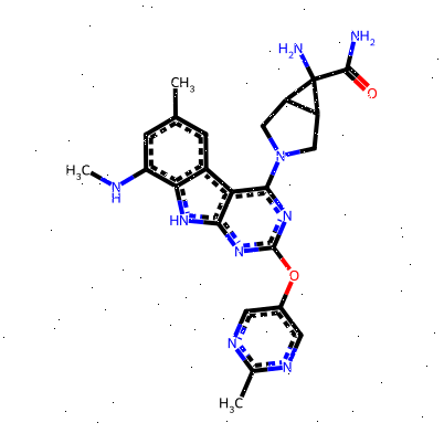 CNc1cc(C)cc2c1[nH]c1nc(Oc3cnc(C)nc3)nc(N3CC4C(C3)C4(N)C(N)=O)c12